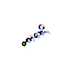 Cc1nn(C)c(N2CCCOCC2)c1CN1CCC(NC(=O)c2ccc(-c3cccc(F)c3)nc2)CC1